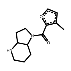 Cc1ccoc1C(=O)N1CCC2NCCCC21